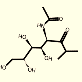 CC(=O)N[C@@H](C(=O)C(C)C)[C@@H](O)[C@H](O)[C@H](O)CO